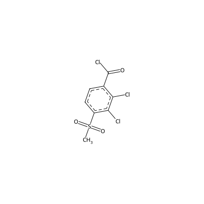 CS(=O)(=O)c1ccc(C(=O)Cl)c(Cl)c1Cl